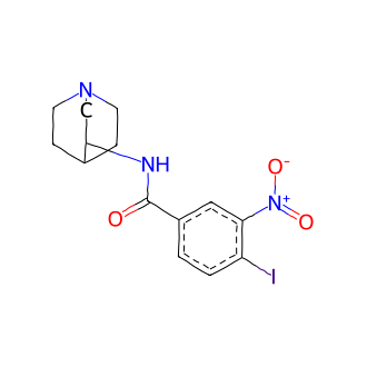 O=C(NC1CN2CCC1CC2)c1ccc(I)c([N+](=O)[O-])c1